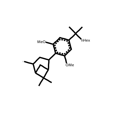 [CH]C1CC(c2c(OC)cc(C(C)(C)CCCCCC)cc2OC)C2CC1C2(C)C